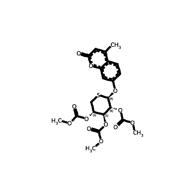 COC(=O)O[C@@H]1[C@@H](OC(=O)OC)[C@H](OC(=O)OC)CS[C@H]1Oc1ccc2c(C)cc(=O)oc2c1